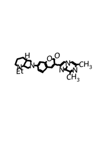 CCN1CCC[C@@H]2CN(c3ccc4cc(-c5cn6cc(C)nc(C)c6n5)c(=O)oc4c3)CC21